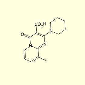 Cc1cccn2c(=O)c(C(=O)O)c(N3CCCCC3)nc12